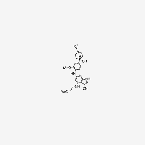 COCCNc1cc(Nc2ccc([PH]3(O)CCN(C4CC4)CC3)cc2OC)nc2[nH]cc(C#N)c12